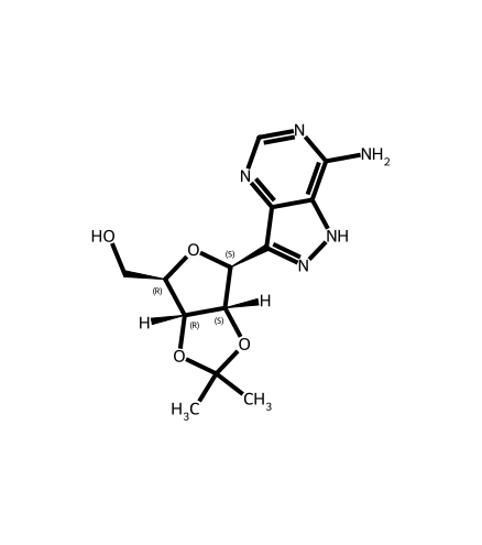 CC1(C)O[C@@H]2[C@H](O1)[C@@H](CO)O[C@H]2c1n[nH]c2c(N)ncnc12